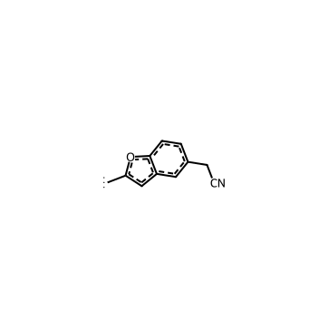 [C]c1cc2cc(CC#N)ccc2o1